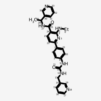 CCNc1nc(-c2ccc(NC(=O)NCc3cccnc3)cc2)ccc1C(=O)NC(C)c1cccnc1